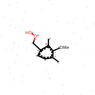 COc1c(C)ccc(COO)c1C